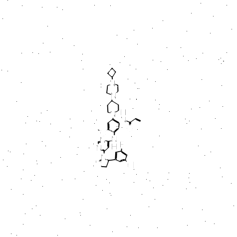 C=CC(=O)Nc1cc(Nc2cc(N3OCCC3c3cc(F)cc(Cl)c3)ncn2)c(OC)cc1N1CCC(N2CCN(C3CCC3)CC2)CC1